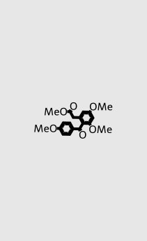 COC(=O)Cc1cc(OC)cc(OC)c1C(=O)c1ccc(OC)cc1